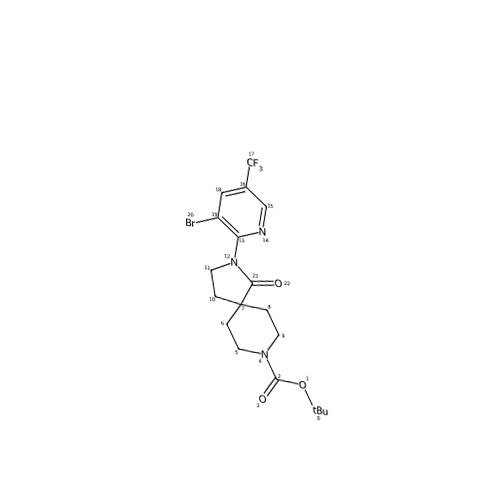 CC(C)(C)OC(=O)N1CCC2(CC1)CCN(c1ncc(C(F)(F)F)cc1Br)C2=O